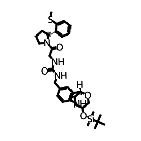 CSc1ccccc1[C@H]1CCCN1C(=O)CNC(=O)NCc1ccc2c(c1)[C@H]1CCC(O[Si](C)(C)C(C)(C)C)(CO1)N2